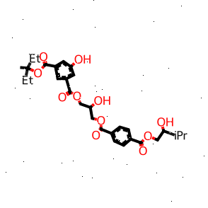 CCC(C)(CC)OC(=O)c1cc(O)cc(C(=O)OCC(O)COC(=O)c2ccc(C(=O)OCC(O)C(C)C)cc2)c1